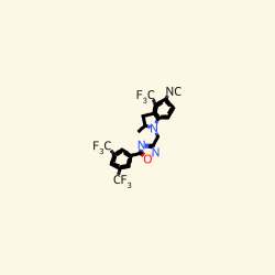 [C-]#[N+]c1ccc2c(c1C(F)(F)F)CC(C)N2Cc1noc(-c2cc(C(F)(F)F)cc(C(F)(F)F)c2)n1